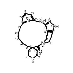 O=C1N2Cc3[nH]nc(c3C2)Nc2cccc(n2)CCCCCC12CCOCC2